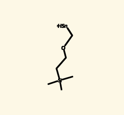 C[Si](C)(C)CCO[CH2][SnH]